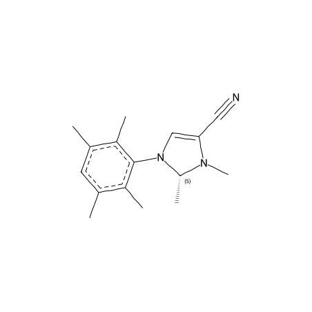 Cc1cc(C)c(C)c(N2C=C(C#N)N(C)[C@@H]2C)c1C